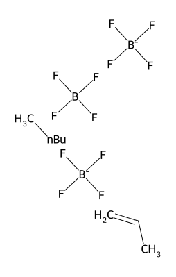 C=CC.CCCCC.F[B-](F)(F)F.F[B-](F)(F)F.F[B-](F)(F)F